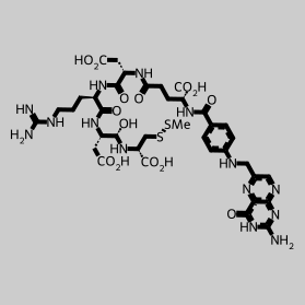 CSSC[C@@H](N[C@@H](O)[C@H](CC(=O)O)NC(=O)[C@@H](CCCNC(=N)N)NC(=O)[C@H](CC(=O)O)NC(=O)CC[C@@H](NC(=O)c1ccc(NCc2cnc3nc(N)[nH]c(=O)c3n2)cc1)C(=O)O)C(=O)O